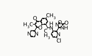 Cc1cc([C@@H](C)Nc2ccc(Cl)nc2-c2noc(=O)[nH]2)c2oc(-c3cnccn3)c(C)c(=O)c2c1